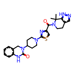 CC1(C)c2[nH]ncc2CCN1C(=O)c1csc(N2CCC(N3Cc4ccccc4NC3=O)CC2)n1